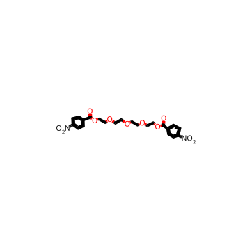 O=C(OCCOCCOCCOCCOC(=O)c1ccc([N+](=O)[O-])cc1)c1ccc([N+](=O)[O-])cc1